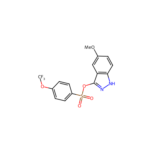 COc1ccc2[nH]nc(OS(=O)(=O)c3ccc(OC(F)(F)F)cc3)c2c1